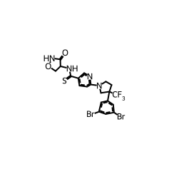 O=C1NOCC1NC(=S)c1ccc(N2CCC(c3cc(Br)cc(Br)c3)(C(F)(F)F)C2)nc1